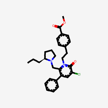 CCC[C@H]1CCCN1Cc1c(-c2ccccc2)cc(Cl)c(=O)n1CCc1ccc(C(=O)OC)cc1